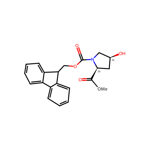 COC(=O)[C@@H]1C[C@H](O)CN1C(=O)OCC1c2ccccc2-c2ccccc21